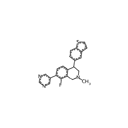 CN1Cc2c(ccc(-c3cncnc3)c2F)C(c2ccc3sccc3c2)C1